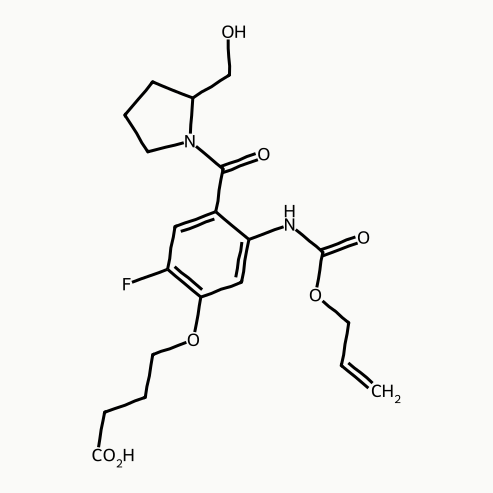 C=CCOC(=O)Nc1cc(OCCCC(=O)O)c(F)cc1C(=O)N1CCCC1CO